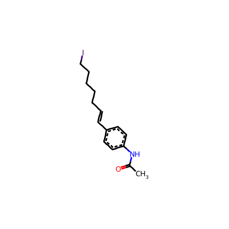 CC(=O)Nc1ccc(C=CCCCCCI)cc1